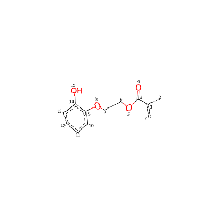 C=C(C)C(=O)OCCOc1ccccc1O